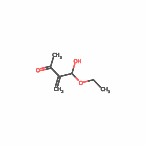 C=C(C(C)=O)C(O)OCC